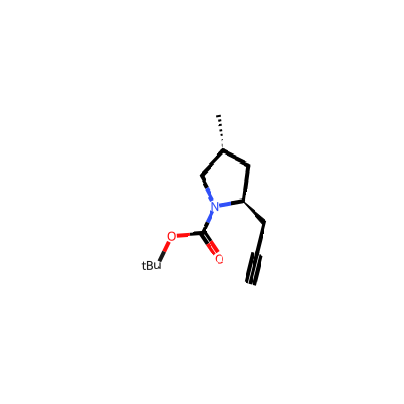 C#CC[C@@H]1C[C@@H](C)CN1C(=O)OC(C)(C)C